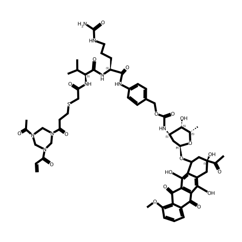 C=CC(=O)N1CN(C(C)=O)CN(C(=O)CCSCC(=O)N[C@H](C(=O)N[C@@H](CCCNC(N)=O)C(=O)Nc2ccc(COC(=O)N[C@H]3C[C@H](OC4C[C@](O)(C(C)=O)Cc5c(O)c6c(c(O)c54)C(=O)c4c(OC)cccc4C6=O)O[C@@H](C)[C@H]3O)cc2)C(C)C)C1